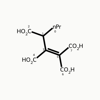 CCCC(C(=O)O)C(C(=O)O)=C(C(=O)O)C(=O)O